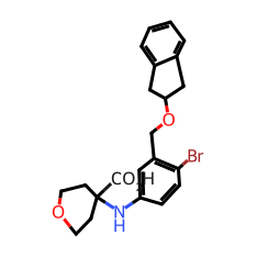 O=C(O)C1(Nc2ccc(Br)c(COC3Cc4ccccc4C3)c2)CCOCC1